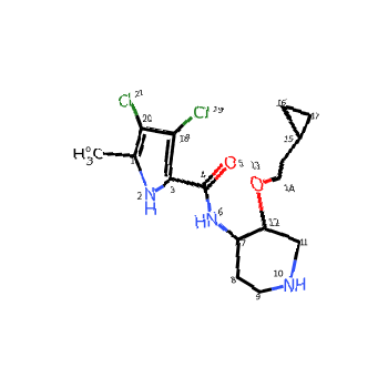 Cc1[nH]c(C(=O)NC2CCNCC2OCC2CC2)c(Cl)c1Cl